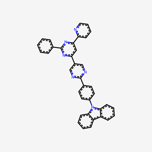 c1ccc(-c2nc(-c3cnc(-c4ccc(-n5c6ccccc6c6ccccc65)cc4)nc3)cc(-c3ccccn3)n2)cc1